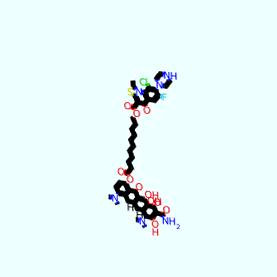 CC1Sc2c(C(=O)OCCCCCCCCCCC(=O)Oc3ccc(N(C)C)c4c3C(=O)C3=C(O)[C@@]5(O)C(=O)C(C(N)=O)=C(O)[C@H](N(C)C)[C@H]5C[C@H]3C4)c(=O)c3cc(F)c(N4CCNCC4)c(Cl)c3n21